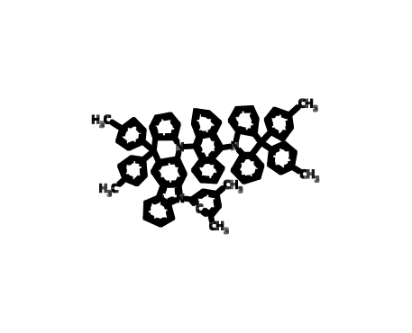 Cc1ccc(C2(c3ccc(C)cc3)c3ccccc3N(c3c4ccccc4c(N4c5ccccc5C(c5ccc(C)cc5)(c5ccc(C)cc5)c5cc6c7ccccc7n(-c7cc(C)cc(C)c7)c6cc54)c4ccccc34)c3ccccc32)cc1